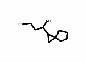 NC(CCO)C1CC12CCCC2